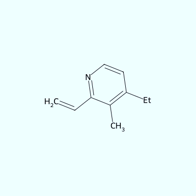 C=Cc1nccc(CC)c1C